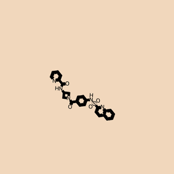 O=C(NC1CN(C(=O)c2ccc(NS(=O)(=O)c3ccc4ccccc4n3)cc2)C1)c1ccccn1